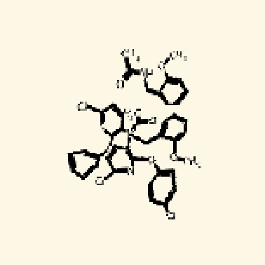 COc1ccccc1CNC(C)=O.COc1ccccc1C[N+](C(C)=O)(c1ccc(Cl)nc1Oc1ccccc1)c1ccc(Cl)nc1Oc1ccc(Cl)cc1